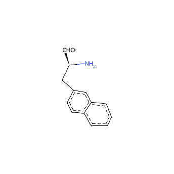 N[C@H]([C]=O)Cc1ccc2ccccc2c1